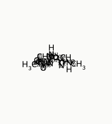 CCNCc1cncc(-c2ccc3[nH]nc(-c4ncc(C(=O)N5C[C@@H](C)O[C@@H](C)C5)[nH]4)c3c2)c1C